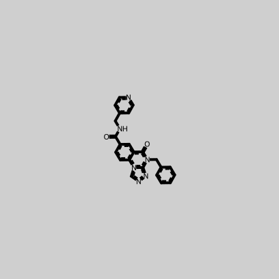 O=C(NCc1ccncc1)c1ccc2c(c1)c(=O)n(Cc1ccccc1)c1nncn21